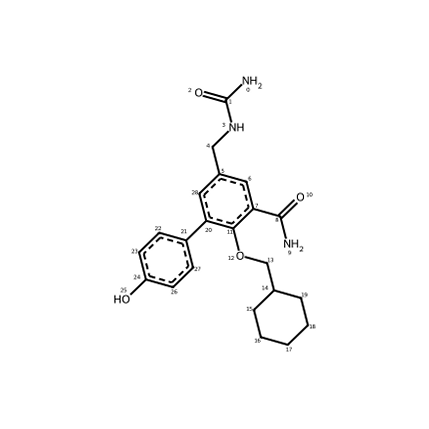 NC(=O)NCc1cc(C(N)=O)c(OCC2CCCCC2)c(-c2ccc(O)cc2)c1